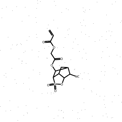 [C-]#[N+]C1C2CC3C1OS(=O)(=O)C3C2OC(=O)COC(=O)C=C